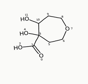 O=C(O)C1(O)CCOCCC1O